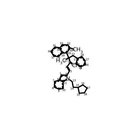 C=C(/C=C/c1cc2ccccc2n1CCC1CCCC1)C(C)(Cc1ccccc1)c1c(C)ccc2ccccc12